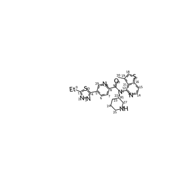 CCc1nnc(-c2ccc(C(=O)N(c3nccc4scc(C)c34)[C@@H]3CCCNC3)nc2)s1